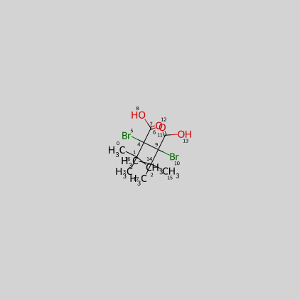 CC(C)(C)C(Br)(C(=O)O)C(Br)(C(=O)O)C(C)(C)C